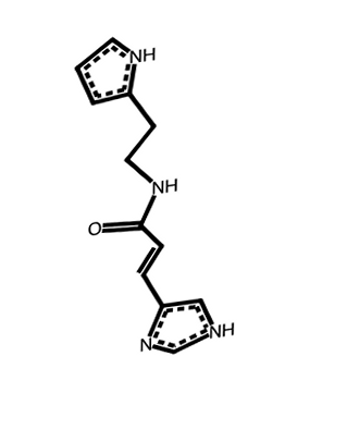 O=C(C=Cc1c[nH]cn1)NCCc1ccc[nH]1